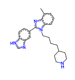 Cc1cccc2c1nc(-c1ccc3[nH]cnc3c1)n2CCCCC1CCNCC1